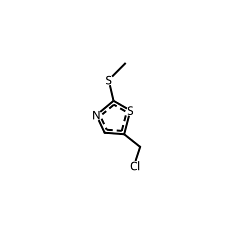 CSc1ncc(CCl)s1